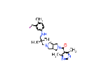 Cc1ccc(NCC(C)(C)CN2CC3CN(C(=O)c4c(C)ncnc4C)CC3C2)cc1CI